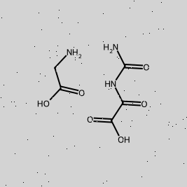 NC(=O)NC(=O)C(=O)O.NCC(=O)O